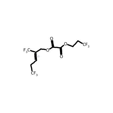 O=C(OCCC(F)(F)F)C(=O)OC/C(=C/CC(F)(F)F)C(F)(F)F